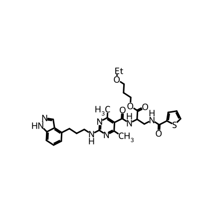 CCOCCCOC(=O)C(CNC(=O)c1cccs1)NC(=O)c1c(C)nc(NCCCc2cccc3[nH]ncc23)nc1C